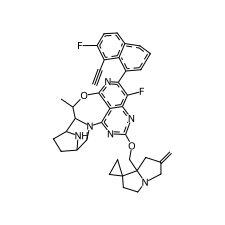 C#Cc1c(F)ccc2cccc(-c3nc4c5c(nc(OCC67CC(=C)CN6CCC76CC6)nc5c3F)N3CC5CCC(N5)C3C(C)O4)c12